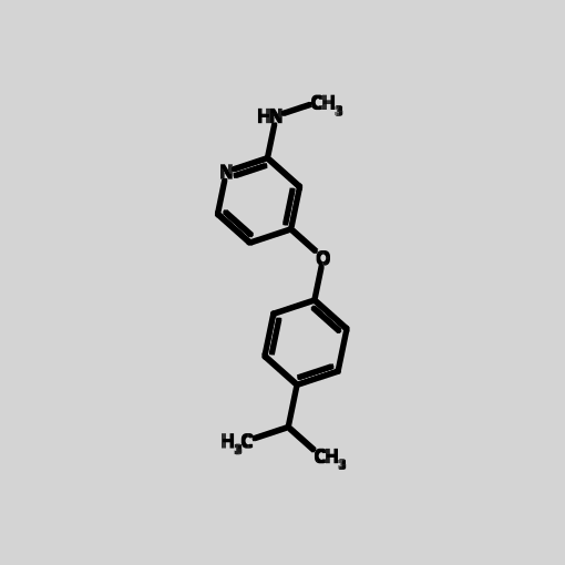 CNc1cc(Oc2ccc(C(C)C)cc2)ccn1